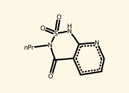 CCCN1C(=O)c2cccnc2NS1(=O)=O